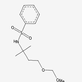 COCOCCC(C)(C)NS(=O)(=O)c1ccccc1